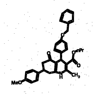 CCCOC(=O)C1=C(C)NC2=C(C(=O)CC(c3ccc(OC)cc3)C2)C1c1ccc(OCc2ccccc2)cc1